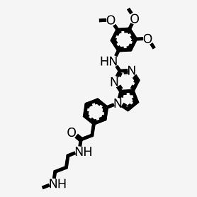 CNCCCNC(=O)Cc1cccc(-n2ccc3cnc(Nc4cc(OC)c(OC)c(OC)c4)nc32)c1